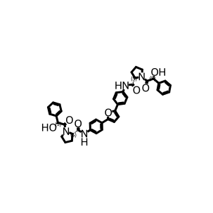 O=C(Nc1ccc(-c2ccc(-c3ccc(NC(=O)[C@@H]4CCCN4C(=O)[C@@H](O)c4ccccc4)cc3)o2)cc1)[C@@H]1CCCN1C(=O)[C@@H](O)c1ccccc1